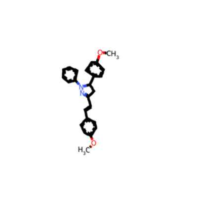 COc1ccc(C=CC2=NN(c3ccccc3)C(c3ccc(OC)cc3)C2)cc1